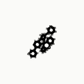 c1cncc(-c2ccc3c(c2)C2(c4ccccc4Oc4ccccc42)c2cc(-c4cccnc4)ccc2-3)c1